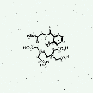 CCCCC(CC)COC(=O)c1ccccc1O.O=C(O)CN(CCN(CC(=O)O)CC(=O)O)CC(=O)O.[NaH].[NaH]